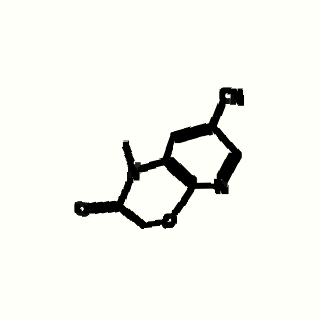 CN1C(=O)COc2ncc(C#N)cc21